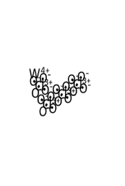 [O-][Cl+3]([O-])([O-])[O-].[O-][Cl+3]([O-])([O-])[O-].[O-][Cl+3]([O-])([O-])[O-].[O-][Cl+3]([O-])([O-])[O-].[W+4]